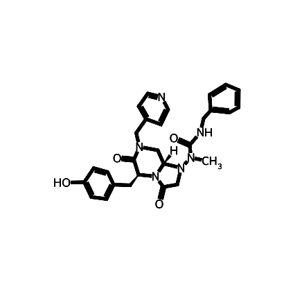 CN(C(=O)NCc1ccccc1)N1CC(=O)N2[C@@H](Cc3ccc(O)cc3)C(=O)N(Cc3ccncc3)C[C@@H]21